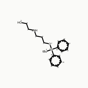 CC(C)(C)[Si](OCCCNCCO)(c1ccccc1)c1ccccc1